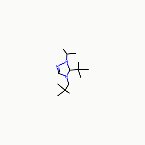 CC(C)N1N=CN(CC(C)(C)C)C1C(C)(C)C